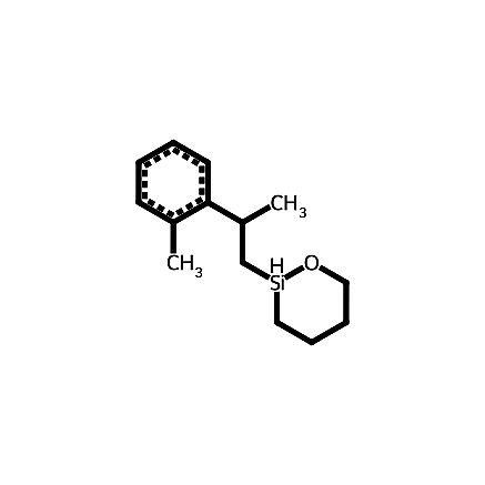 Cc1ccccc1C(C)C[SiH]1CCCCO1